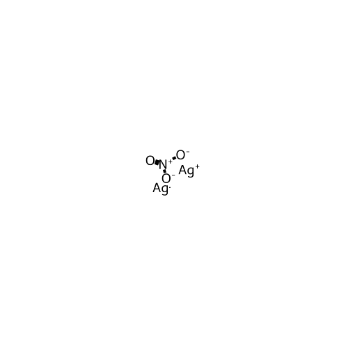 O=[N+]([O-])[O-].[Ag+].[Ag]